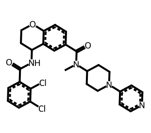 CN(C(=O)c1ccc2c(c1)C(NC(=O)c1cccc(Cl)c1Cl)CCO2)C1CCN(c2ccncc2)CC1